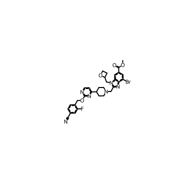 COC(=O)c1cc(Br)c2nc(CN3CCC(c4ccnc(OCc5ccc(C#N)cc5F)n4)CC3)n(CC3CCO3)c2c1